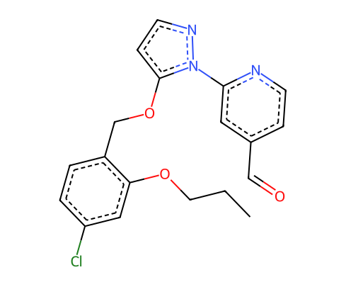 CCCOc1cc(Cl)ccc1COc1ccnn1-c1cc(C=O)ccn1